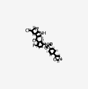 O=C(c1c(F)ccc(NS(=O)(=O)c2ccc(-c3cnco3)cc2)c1F)c1c[nH]c2ncc(Cl)cc12